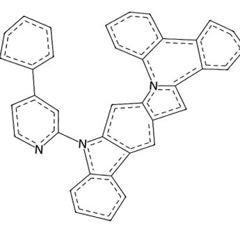 c1ccc(-c2ccnc(-n3c4ccccc4c4cc5cc6c7ccccc7c7ccccc7n6c5cc43)c2)cc1